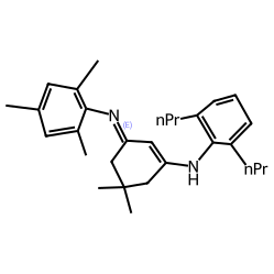 CCCc1cccc(CCC)c1NC1=C/C(=N/c2c(C)cc(C)cc2C)CC(C)(C)C1